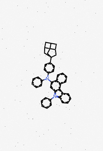 c1ccc(N(c2ccc(C34CC5CC6CC(C3)C65C4)cc2)c2cc3c(c4ccccc24)c2ccccc2n3-c2ccccc2)cc1